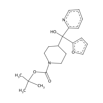 CC(C)(C)OC(=O)N1CCC(C(O)(c2ccccn2)c2ccco2)CC1